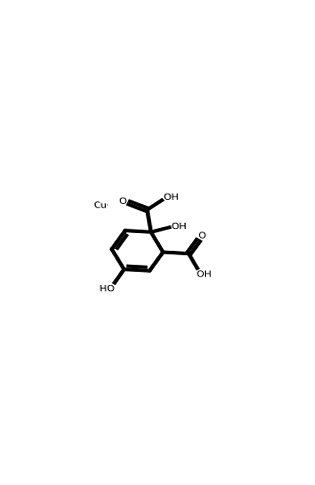 O=C(O)C1C=C(O)C=CC1(O)C(=O)O.[Cu]